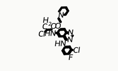 C=C(Cl)C(=O)Nc1cc2c(Nc3ccc(F)c(Cl)c3)ncnc2cc1OCCN1CCCCC1